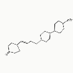 CCCC1CCC(C2CCC(CCC=CC3CCC(=O)CC3)CC2)CC1